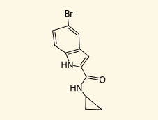 O=C(NC1CC1)c1cc2cc(Br)ccc2[nH]1